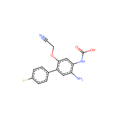 N#CCOc1cc(NC(=O)O)c(N)cc1-c1ccc(F)cc1